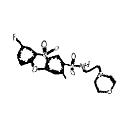 Cc1cc2c(cc1S(=O)(=O)NCCN1CCOCC1)S(=O)(=O)c1cc(F)ccc1O2